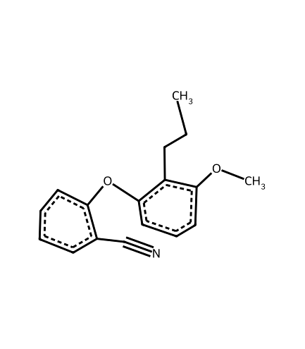 CCCc1c(OC)cccc1Oc1ccccc1C#N